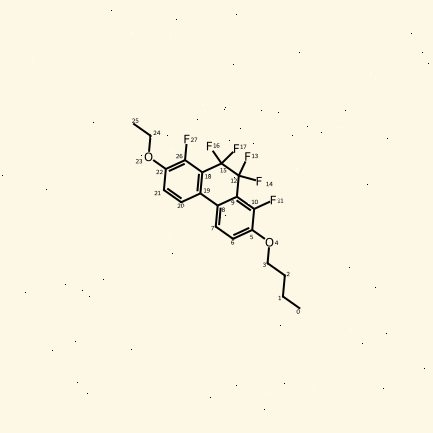 CCCCOc1ccc2c(c1F)C(F)(F)C(F)(F)c1c-2ccc(OCC)c1F